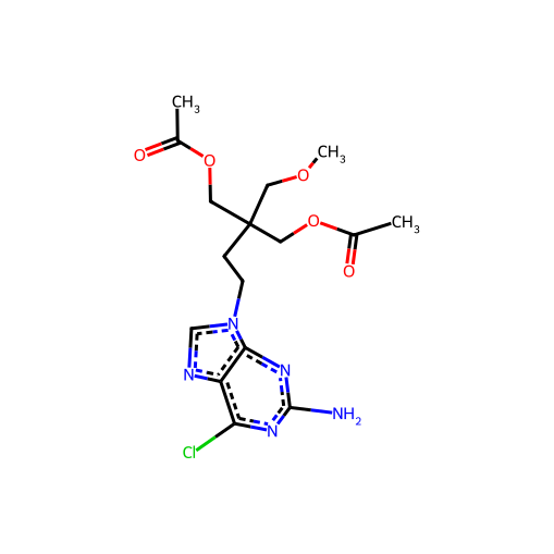 COCC(CCn1cnc2c(Cl)nc(N)nc21)(COC(C)=O)COC(C)=O